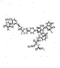 COc1ccc(C#CCNC2(C)CCN(C3CCN(c4nc([C@@](COCNC(=O)[C@H](CC(N)=O)NC(C)=O)(OC5CC5)c5ccccc5)c5cc(-c6cn(C)c(=O)c7[nH]ccc67)ccc5n4)CC3)CC2)cc1N1CCC(=O)NC1=O